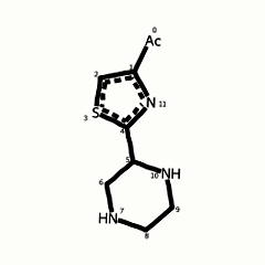 CC(=O)c1csc(C2CNCCN2)n1